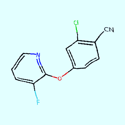 N#Cc1ccc(Oc2ncccc2F)cc1Cl